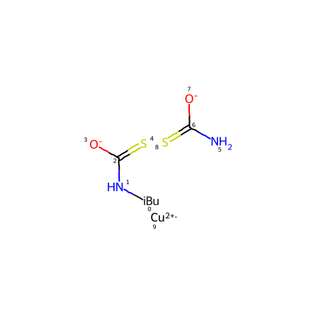 CCC(C)NC([O-])=S.NC([O-])=S.[Cu+2]